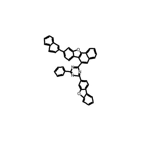 c1ccc(-c2nc(-c3ccc4c(c3)oc3ccccc34)nc(-c3cc4ccccc4c4oc5cc(-c6ccc7ccccc7c6)ccc5c34)n2)cc1